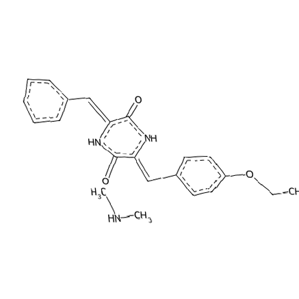 CCOc1ccc(C=c2[nH]c(=O)c(=Cc3ccccc3)[nH]c2=O)cc1.CNC